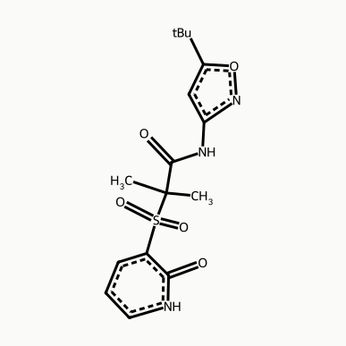 CC(C)(C)c1cc(NC(=O)C(C)(C)S(=O)(=O)c2ccc[nH]c2=O)no1